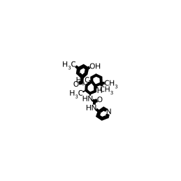 Cc1cc(O)cc(C(=O)[C@H]2[C@H](C)[C@H](NC(=O)Nc3cccnc3)C[C@H]3C(C)(C)CCC[C@]23C)c1